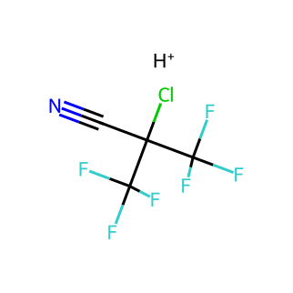 N#CC(Cl)(C(F)(F)F)C(F)(F)F.[H+]